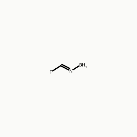 B/N=C/F